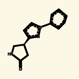 O=C1C[C@H](c2ccn(-c3ccccc3)n2)CN1